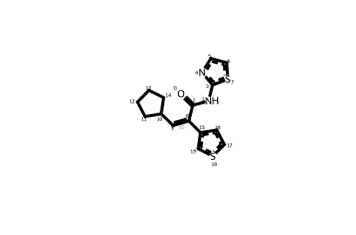 O=C(Nc1nccs1)/C(=C\C1CCCC1)c1ccsc1